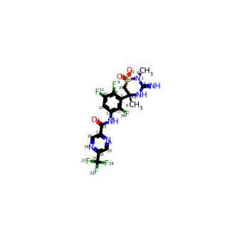 CN1C(=N)N[C@](C)(c2c(F)c(F)cc(NC(=O)c3cnc(C(F)(F)F)cn3)c2F)CS1(=O)=O